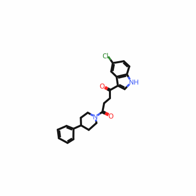 O=C(CCC(=O)N1CCC(c2ccccc2)CC1)c1c[nH]c2ccc(Cl)cc12